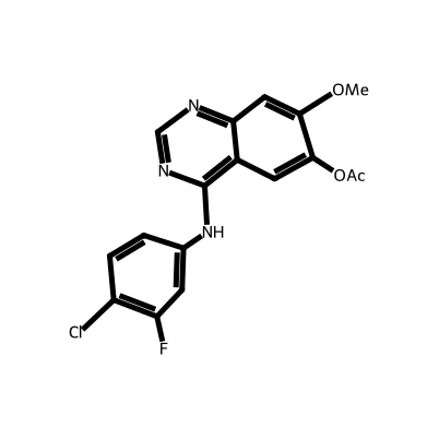 COc1cc2ncnc(Nc3ccc(Cl)c(F)c3)c2cc1OC(C)=O